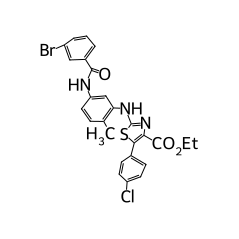 CCOC(=O)c1nc(Nc2cc(NC(=O)c3cccc(Br)c3)ccc2C)sc1-c1ccc(Cl)cc1